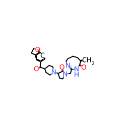 C=C1CCCC/N=C(/CN2CCC(N3CCC(C(=O)c4ccc5c(c4)CCO5)CC3)C2=O)NC1=O